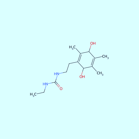 CCNC(=O)NCCC1=C(C)C(O)C(C)=C(C)C1O